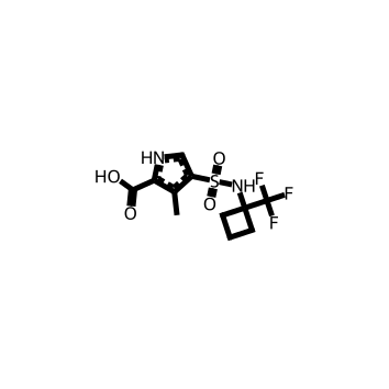 Cc1c(S(=O)(=O)NC2(C(F)(F)F)CCC2)c[nH]c1C(=O)O